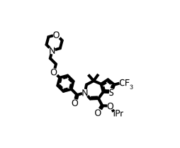 CC(C)OC(=O)C1=CN(C(=O)c2ccc(OCCN3CCOCC3)cc2)CC(C)(C)c2cc(C(F)(F)F)sc21